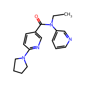 CCN(C(=O)c1ccc(N2CCCC2)nc1)c1cccnc1